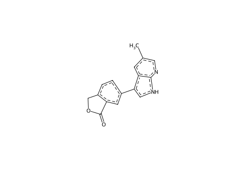 Cc1cnc2[nH]cc(-c3ccc4c(c3)C(=O)OC4)c2c1